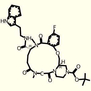 CN1CC(=O)N2CCN(C(=O)OC(C)(C)C)C[C@@H]2COc2ccc(F)cc2C(=O)N(C)[C@@H](C(=O)NCCc2c[nH]c3ccccc23)CCC1=O